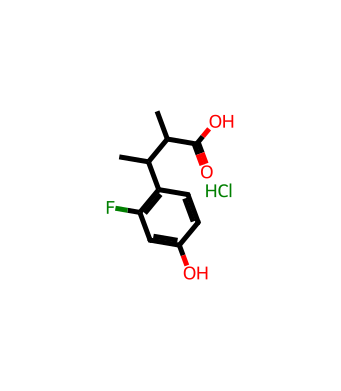 CC(C(=O)O)C(C)c1ccc(O)cc1F.Cl